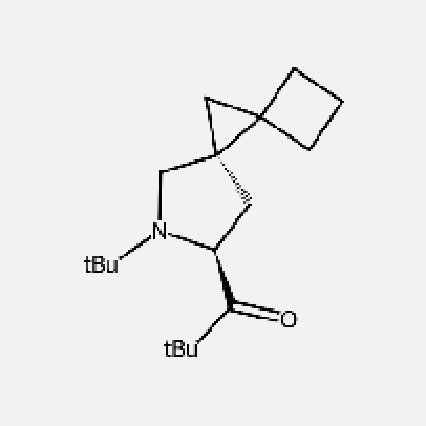 CC(C)(C)C(=O)[C@@H]1C[C@]2(CN1C(C)(C)C)CC21CCC1